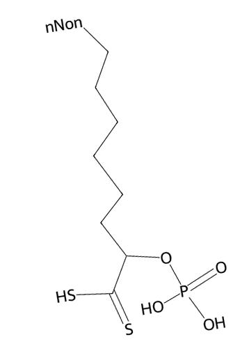 CCCCCCCCCCCCCCCC(OP(=O)(O)O)C(=S)S